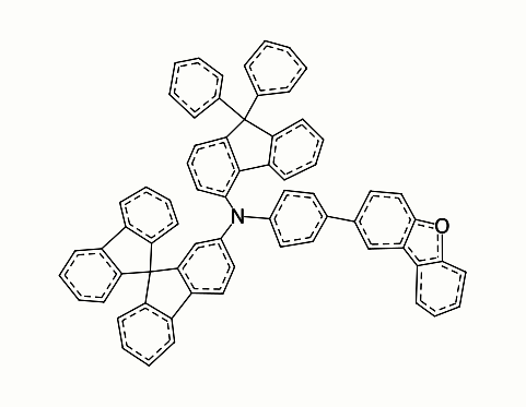 c1ccc(C2(c3ccccc3)c3ccccc3-c3c(N(c4ccc(-c5ccc6oc7ccccc7c6c5)cc4)c4ccc5c(c4)C4(c6ccccc6-c6ccccc64)c4ccccc4-5)cccc32)cc1